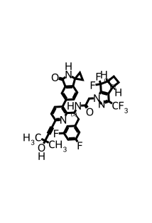 CC(C)(O)C#Cc1ccc(-c2ccc3c(c2)C(=O)NC32CC2)c([C@H](Cc2cc(F)cc(F)c2)NC(=O)Cn2nc(C(F)(F)F)c3c2C(F)(F)[C@@H]2CC[C@H]32)n1